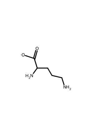 NCCCC(N)C([O])=O